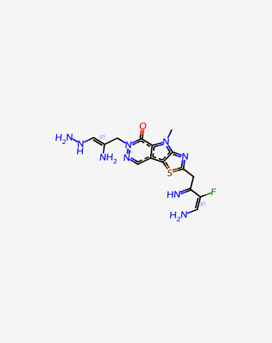 Cn1c2nc(CC(=N)/C(F)=C\N)sc2c2cnn(C/C(N)=C/NN)c(=O)c21